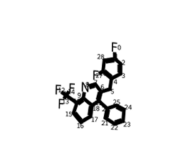 Fc1ccc(Cc2cnc3c(C(F)(F)F)cccc3c2-c2ccccc2)c(F)c1